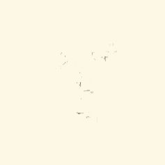 CC(C)NC(=O)CCC(C)(CCC(=O)NC(C)(C)C)NC(=O)CCC(=O)O